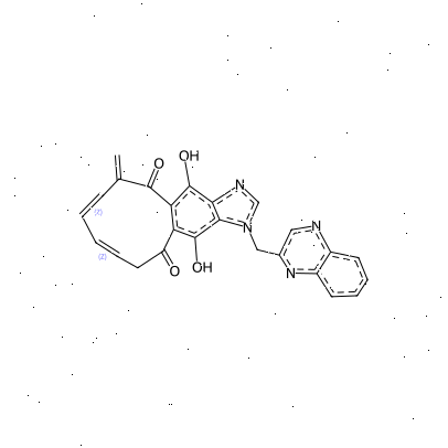 C=C1/C=C\C=C/CC(=O)c2c(c(O)c3ncn(Cc4cnc5ccccc5n4)c3c2O)C1=O